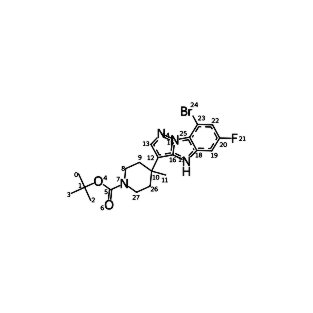 CC(C)(C)OC(=O)N1CCC(C)(c2cnn3c2[nH]c2cc(F)cc(Br)c23)CC1